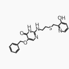 O=c1[nH]c(NCCSCc2ncccc2O)ncc1OCc1ccccc1